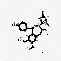 Cc1nc(N2N=C(c3ccc(N)cc3)c3cc(CO)c(CO)cc3CC2C)n(C)n1